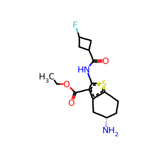 CCOC(=O)c1c(NC(=O)C2CC(F)C2)sc2c1C[C@@H](N)CC2